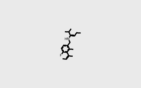 C/C=C(/C)c1c(F)ccc(CNC(=CCC)C(C)C)c1C